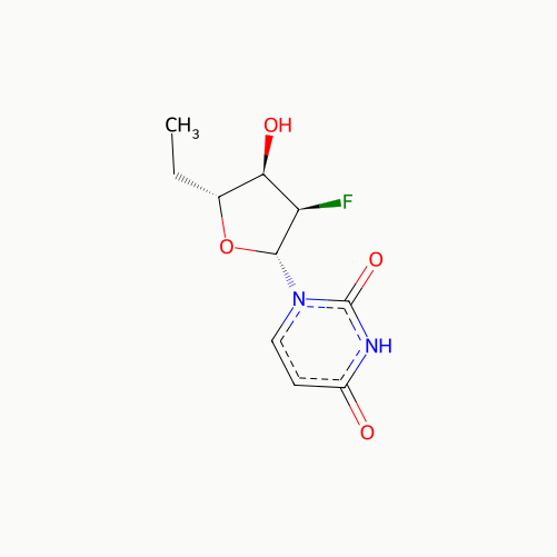 CC[C@H]1O[C@@H](n2ccc(=O)[nH]c2=O)[C@H](F)[C@@H]1O